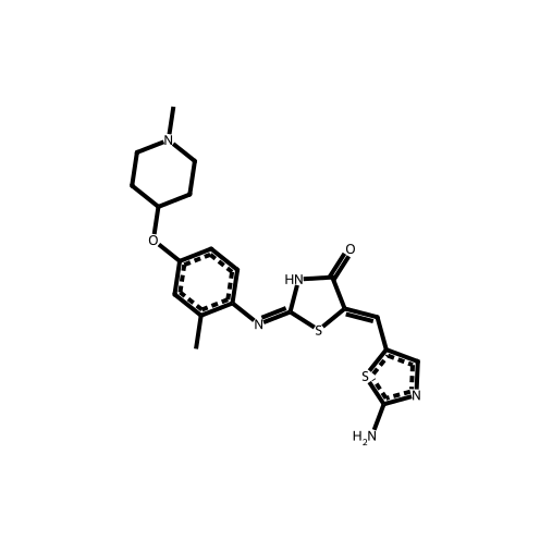 Cc1cc(OC2CCN(C)CC2)ccc1N=C1NC(=O)C(=Cc2cnc(N)s2)S1